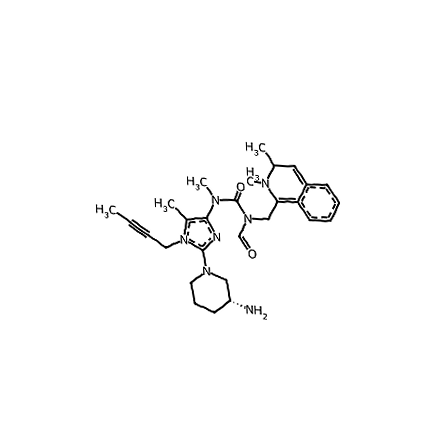 CC#CCn1c(N2CCC[C@@H](N)C2)nc(N(C)C(=O)N(C=O)CC2=c3ccccc3=CC(C)N2C)c1C